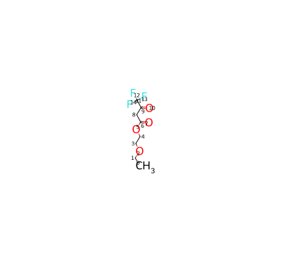 CCOCCOC(=O)CC(=O)C(F)(F)F